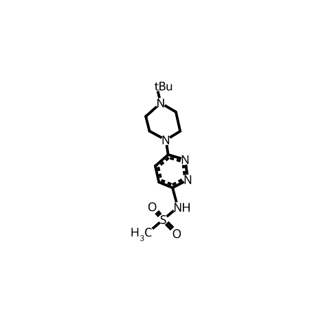 CC(C)(C)N1CCN(c2ccc(NS(C)(=O)=O)nn2)CC1